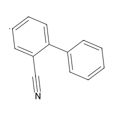 N#Cc1c[c]ccc1-c1ccccc1